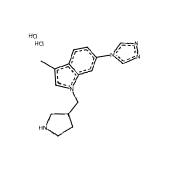 Cc1cn(CC2CCNC2)c2cc(-n3cnnc3)ccc12.Cl.Cl